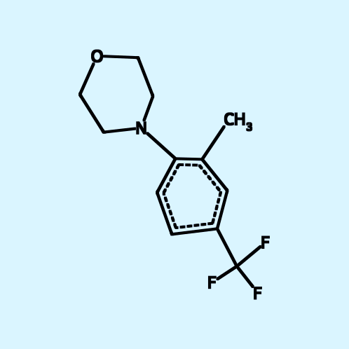 Cc1cc(C(F)(F)F)ccc1N1CCOCC1